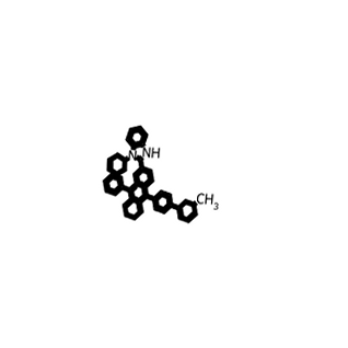 CC1C=CC=C(c2ccc(-c3c4c(c(-c5ccccc5)c5cc(C6Nc7ccccc7N6C6CC=CCC6)ccc35)=CCCC=4)cc2)C1